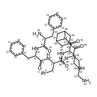 CC(C)CC(NC(=O)C(Cc1ccccc1)NC(=O)C(N)Cc1ccccc1)C(=O)NC(CCCCN)C(=O)N1C2CC1CN(C(=O)C(N)CO)C2